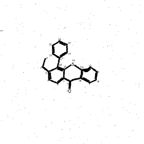 CCc1ccc2c(=O)c3ccccc3sc2c1-c1ccccc1